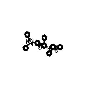 c1ccc(-c2nc(-c3ccccc3)nc(-c3ccc4c(c3)oc3cc(-n5c6ccccc6c6c7oc8ccccc8c7ccc65)cc(-c5ccccc5)c34)n2)cc1